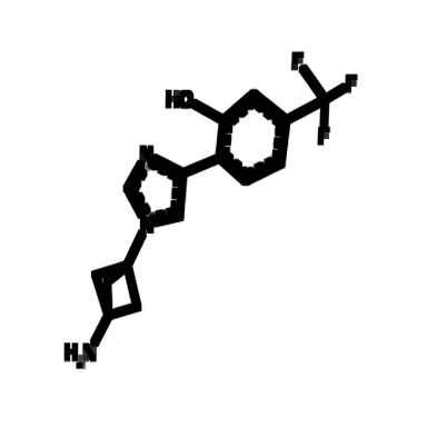 NC12CC(n3cnc(-c4ccc(C(F)(F)F)cc4O)c3)(C1)C2